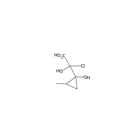 CC1CC1(O)C(O)(Cl)C(=O)O